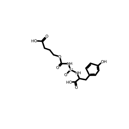 O=C(O)CCCOC(=O)N[S+]([O-])NC(Cc1ccc(O)cc1)C(=O)O